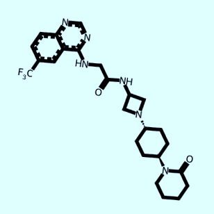 O=C(CNc1ncnc2ccc(C(F)(F)F)cc12)NC1CN([C@H]2CC[C@H](N3CCCCC3=O)CC2)C1